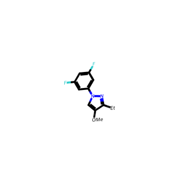 CCc1nn(-c2cc(F)cc(F)c2)cc1OC